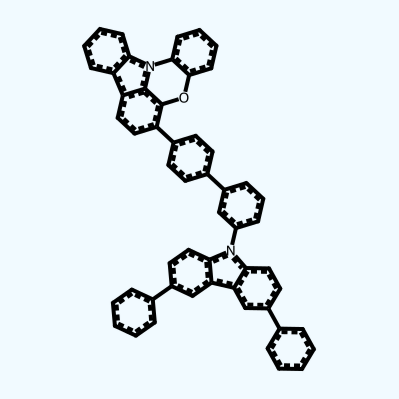 c1ccc(-c2ccc3c(c2)c2cc(-c4ccccc4)ccc2n3-c2cccc(-c3ccc(-c4ccc5c6ccccc6n6c5c4Oc4ccccc4-6)cc3)c2)cc1